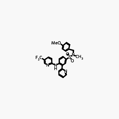 COc1ccc(CN(C)S(=O)(=O)c2ccc(Nc3ccc(C(F)(F)F)cn3)c(-c3ccccn3)c2)cc1